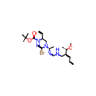 C=C/C=C(\CN/C=N\C(C)N(CC(C=C)NC(=O)OC(C)(C)C)C(=C)Br)[C@@H](C)OC